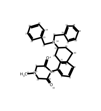 CN1CC(=O)N(c2cccc3c2CC(N(Cc2ccccc2)Cc2ccccc2)CC3)C(=O)C1